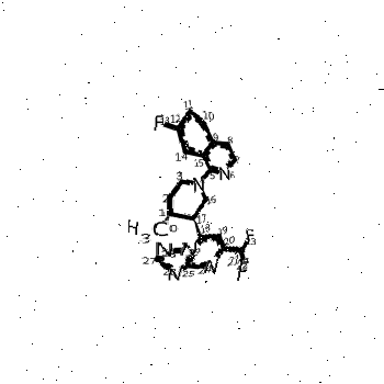 C[C@@H]1CCN(c2nccc3ccc(F)cc23)C[C@H]1c1cc(C(F)F)nc2ncnn12